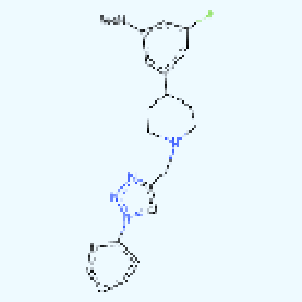 CNc1cc(F)cc(C2CCN(Cc3cn(-c4ccccc4)nn3)CC2)c1